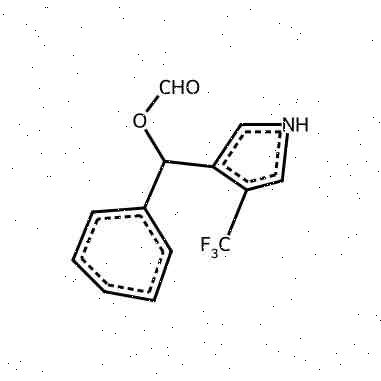 O=COC(c1ccccc1)c1c[nH]cc1C(F)(F)F